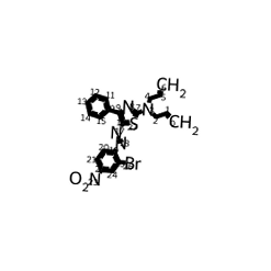 C=CCN(CC=C)c1nc(-c2ccccc2)c(/N=N/c2ccc([N+](=O)[O-])cc2Br)s1